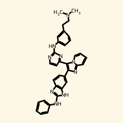 CN(C)CCc1cccc(Nc2nccc(-c3c(-c4ccc5nc(Nc6ccccc6)[nH]c5c4)nc4ccccn34)n2)c1